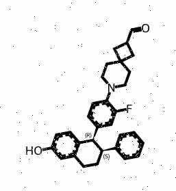 O=CC1CC2(CCN(c3ccc([C@@H]4c5ccc(O)cc5CC[C@@H]4c4ccccc4)cc3F)CC2)C1